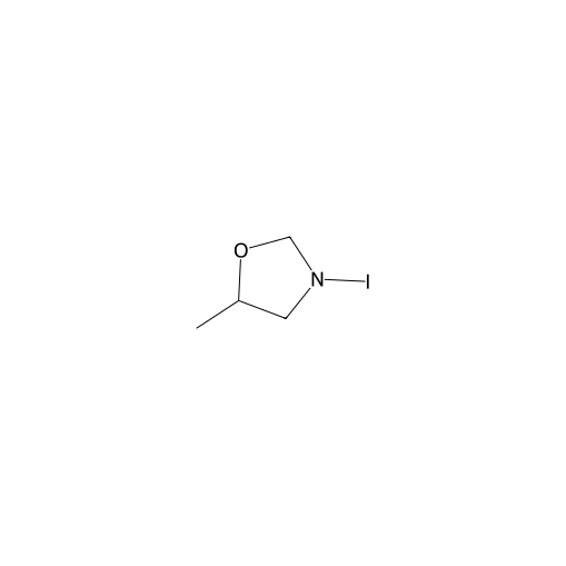 CC1CN(I)CO1